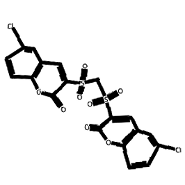 O=c1oc2ccc(Cl)cc2cc1S(=O)(=O)CS(=O)(=O)c1cc2cc(Cl)ccc2oc1=O